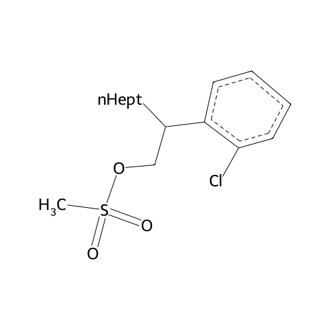 CCCCCCCC(COS(C)(=O)=O)c1ccccc1Cl